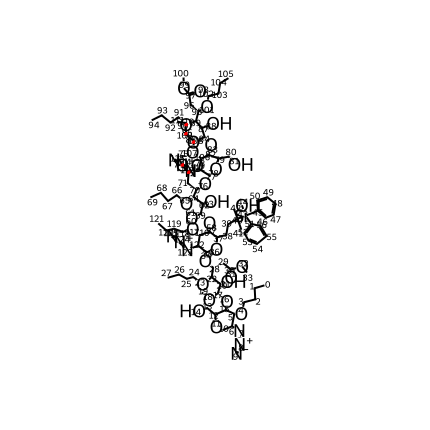 CCCCOC1C(N=[N+]=[N-])COC(CO)[C@H]1O[C@H](OC)C(O)C(OCCCC)[C@@H](CC(=O)OC)O[C@H]1OC(CCC(C)(C)[Si](O)(c2ccccc2)c2ccccc2)[C@@H](O[C@H](OC)C(O)C(OCCCC)[C@@H](CC(=O)OC)O[C@H]2OC(CO)[C@@H](O[C@H](OC)C(O)C(OCCCC)[C@@H](CC(=O)OC)OCCCC)C(OCCCC)C2N=[N+]=[N-])C(OCCCC)C1N=[N+]=[N-]